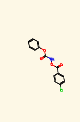 O=C(NOC(=O)c1ccc(Cl)cc1)Oc1ccccc1